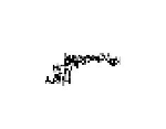 Brc1cnc2[nH]c(-c3ccc(N4CCN(Cc5cccnc5)CC4)cc3)nc2c1NC1CCN(CC2CC2)CC1